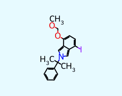 COCOc1ccc(I)c2cn(C(C)(C)c3ccccc3)cc12